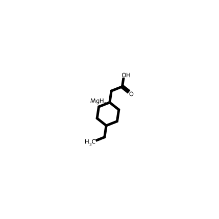 CCC1CCC(CC(=O)O)CC1.[MgH2]